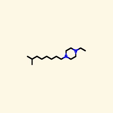 CCN1CCN(CCCCCCC(C)C)CC1